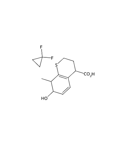 CC1C2=C(C=CC1O)C(C(=O)O)CCS2.FC1(F)CC1